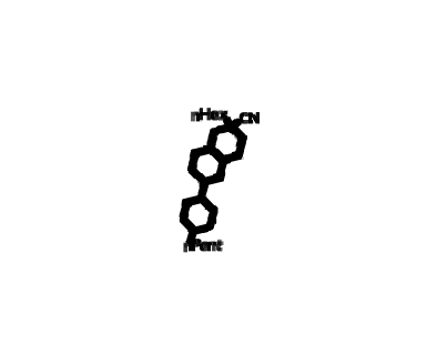 CCCCCCC1(C#N)CCC2CC(C3CCC(CCCCC)CC3)CCC2C1